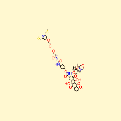 COc1cccc2c1C(=O)c1c(O)c3c(c(O)c1C2=O)CC(C(=O)NOCc1ccc(NC(=O)CNC(=O)CCOCCOCCOc2cc(CSC)nc(CSC)c2)cc1)C[C@@H]3O[C@H]1C[C@H]2[C@H](O[C@@H]3COCCN32)[C@H](C)O1